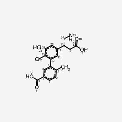 Cc1ccc(C(=O)O)cc1-c1cc([C@H](CN)CC(=O)O)ccc1Cl.Cl